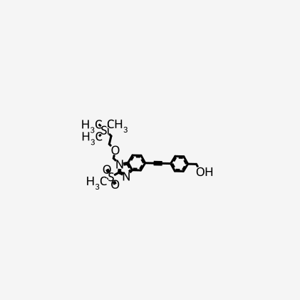 C[Si](C)(C)CCOCn1c(S(C)(=O)=O)nc2cc(C#Cc3ccc(CO)cc3)ccc21